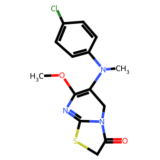 COC1=C(N(C)c2ccc(Cl)cc2)CN2C(=O)CSC2=N1